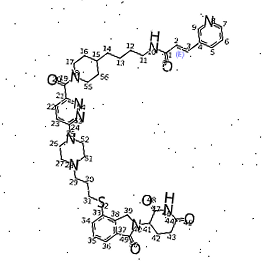 O=C(/C=C/c1cccnc1)NCCCCC1CCN(C(=O)c2ccc(N3CCN(CCCSc4cccc5c4CN(C4CCC(=O)NC4=O)C5=O)CC3)nn2)CC1